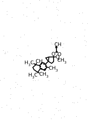 C#CC(=O)OC1(OC)CCC2(c3cc4c(cc3C)C(C)(C)CCC4(C)C)CC12